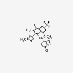 Cc1nc(Cl)ccc1N[C@H](C)c1cc(C(F)(F)F)cc2c(=O)c(C)c(-c3cnn(C)c3)oc12